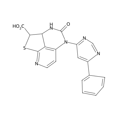 O=C(O)C1Sc2nccc3c2C1NC(=O)N3c1cc(-c2ccccc2)ncn1